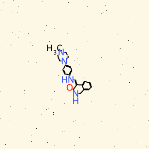 CN1CCN(c2ccc(N/C=C3\C(=O)NCc4ccccc43)cc2)CC1